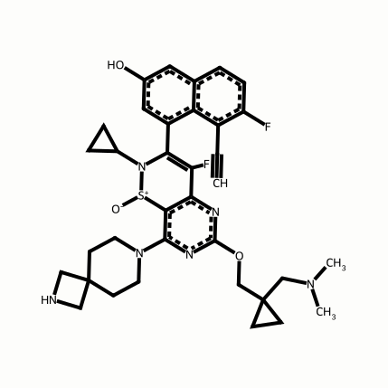 C#Cc1c(F)ccc2cc(O)cc(C3=C(F)c4nc(OCC5(CN(C)C)CC5)nc(N5CCC6(CC5)CNC6)c4[S+]([O-])N3C3CC3)c12